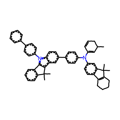 CC1C=C(N(c2ccc(-c3ccc4c(c3)c3c(n4-c4ccc(-c5ccccc5)cc4)-c4ccccc4C3(C)C)cc2)c2ccc3c(c2)C(C)(C)C2=C3CCCC2)C=CC1